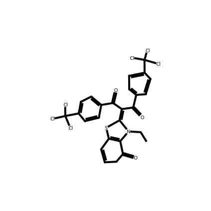 CCN1C(=C(C(=O)c2ccc(C(Cl)(Cl)Cl)cc2)C(=O)c2ccc(C(Cl)(Cl)Cl)cc2)SC2=C1C(=O)CC=C2